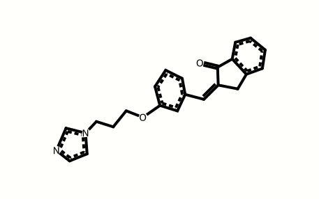 O=C1C(=Cc2cccc(OCCCn3ccnc3)c2)Cc2ccccc21